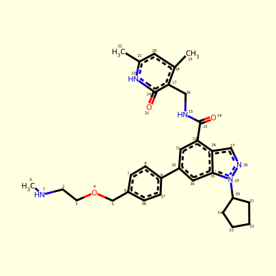 CNCCOCc1ccc(-c2cc(C(=O)NCc3c(C)cc(C)[nH]c3=O)c3cnn(C4CCCC4)c3c2)cc1